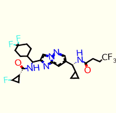 O=C(CCC(F)(F)F)N[C@@H](c1cnn2cc([C@@H](NC(=O)[C@@H]3C[C@H]3F)C3CCC(F)(F)CC3)nc2c1)C1CC1